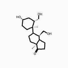 C[C@]12CCC([C@@]3(C)CC[C@H](O)C[C@@H]3CO)[C@@H](CO)C1CCC2=O